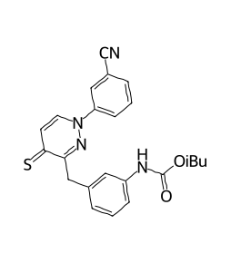 CC(C)COC(=O)Nc1cccc(Cc2nn(-c3cccc(C#N)c3)ccc2=S)c1